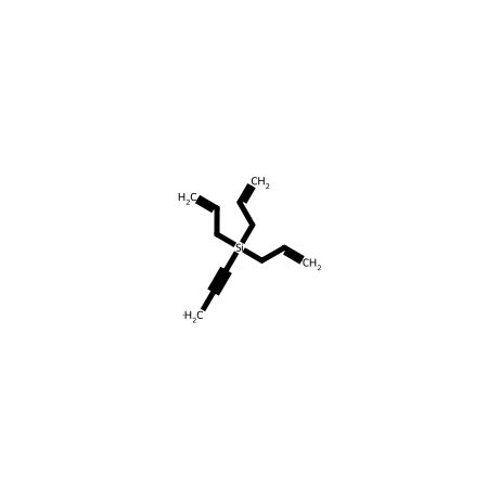 [CH2]C#C[Si](CC=C)(CC=C)CC=C